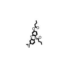 CCCC(=O)Oc1ccc2c(c1)Sc1cc(N(C)C)ccc1N2C(=O)CCC